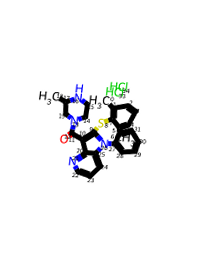 Cc1cccc(C)c1Sc1c(C(=O)N2CCNC(C)C2)c2ncccc2n1-c1ccccc1.Cl.Cl